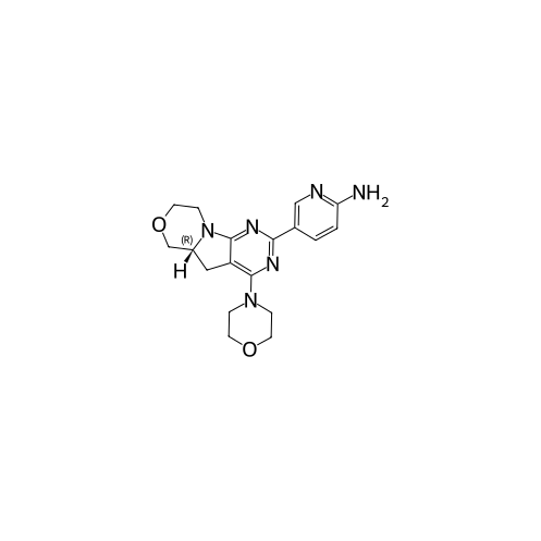 Nc1ccc(-c2nc(N3CCOCC3)c3c(n2)N2CCOC[C@H]2C3)cn1